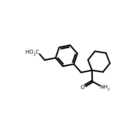 NC(=O)C1(Cc2cccc(CC(=O)O)c2)CCCCC1